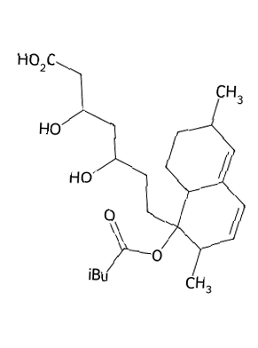 CCC(C)C(=O)OC1(CCC(O)CC(O)CC(=O)O)C(C)C=CC2=CC(C)CCC21